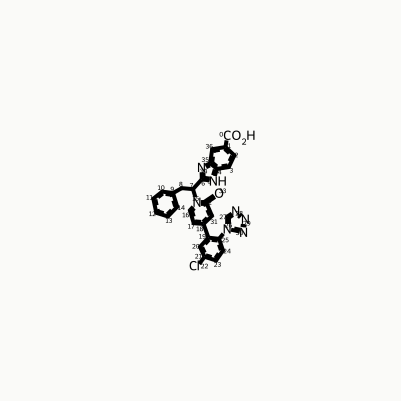 O=C(O)c1ccc2[nH]c(C(Cc3ccccc3)n3ccc(-c4cc(Cl)ccc4-n4cnnn4)cc3=O)nc2c1